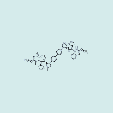 COC(=O)NC(C(=O)N1CCC[C@H]1c1nc(-c2ccc(-c3ccc(-c4cnc([C@@H]5C=CCN5C(=O)[C@H](NC(=O)OC)c5ccccc5)[nH]4)cc3)cc2)c[nH]1)C(C)C